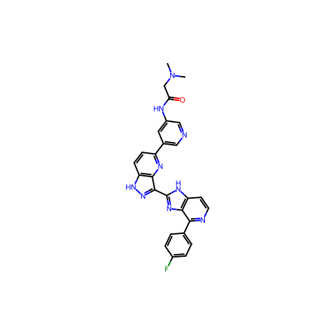 CN(C)CC(=O)Nc1cncc(-c2ccc3[nH]nc(-c4nc5c(-c6ccc(F)cc6)nccc5[nH]4)c3n2)c1